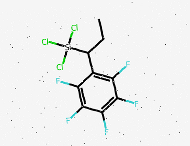 CCC(c1c(F)c(F)c(F)c(F)c1F)[Si](Cl)(Cl)Cl